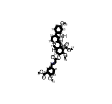 COC(=O)c1cc(/C=C/C(=O)O[C@@H]2C[C@@H]3CN4CCc5c([nH]c6cc(OC)ccc56)[C@H]4C[C@@H]3[C@H](C(=O)OC)[C@H]2OC)ccc1OC